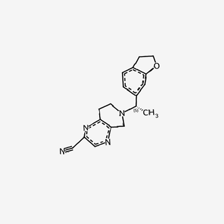 C[C@@H](c1ccc2c(c1)OCC2)N1CCc2nc(C#N)cnc2C1